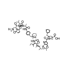 CC[C@H](C)[C@H](NC(=O)[C@H]1CCCC[N+]1(C)Cc1ccc(NC(=O)C(C)NC(=O)C(NC(=O)C(CN)N2C(=O)C=CC2=O)C(C)C)cc1)C(=O)N(C)[C@H](C[C@@H](OC(C)=O)c1nc(C(=O)N[C@@H](Cc2ccccc2)C[C@H](C)C(=O)O)cs1)C(C)C